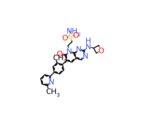 Cc1cccc(-c2ccc(-c3cc4cnc(NC5COC5)nc4n(CCS(N)(=O)=O)c3=O)c(C)c2)n1